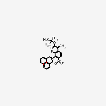 C=C(C(=O)OC(C)(C)C)c1ccc([N+](=O)[O-])c(N(Cc2ccccc2)Cc2ccccc2)c1F